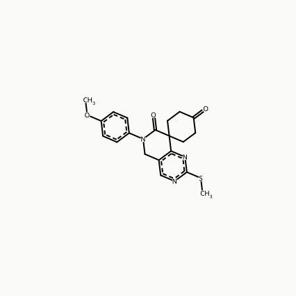 COc1ccc(N2Cc3cnc(SC)nc3C3(CCC(=O)CC3)C2=O)cc1